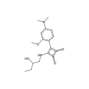 CCC(O)CNc1c(-c2ccc(N(C)C)cc2OC)c(=O)c1=O